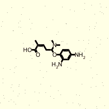 CC(=CCC(Oc1ccc(N)cc1N)N(C)C)C(=O)O